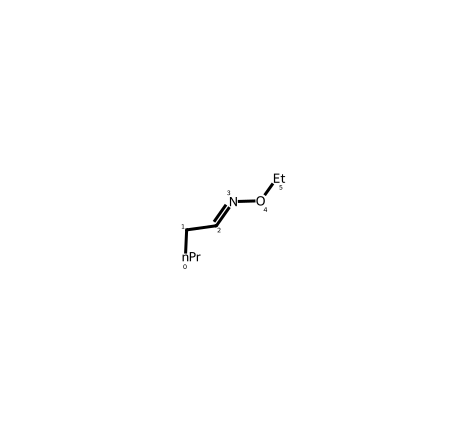 [CH2]CCCC=NOCC